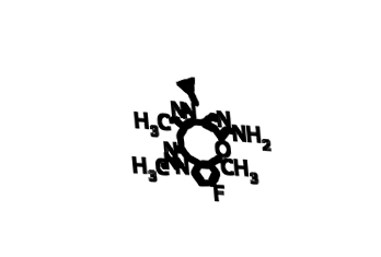 Cc1nn(CC2CC2)c2c1Cc1nn(C)nc1-c1ccc(F)cc1C(C)Oc1cc-2cnc1N